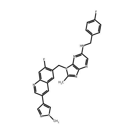 Cc1nc2ncc(NCc3ccc(F)cc3)nc2n1Cc1cc2cc(-c3cnn(C)c3)cnc2cc1F